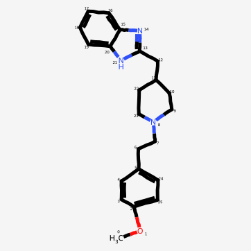 COc1ccc(CCN2CCC(Cc3nc4ccccc4[nH]3)CC2)cc1